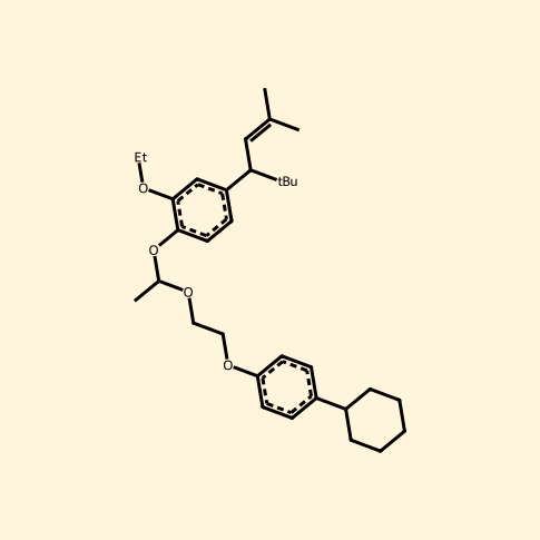 CCOc1cc(C(C=C(C)C)C(C)(C)C)ccc1OC(C)OCCOc1ccc(C2CCCCC2)cc1